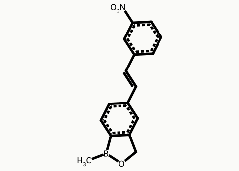 CB1OCc2cc(/C=C/c3cccc([N+](=O)[O-])c3)ccc21